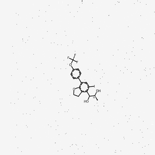 C[C@H](O)C(O)c1c(I)cc(-c2ccc(OC(F)(F)F)cc2)c2c1CCO2